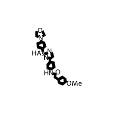 COc1ccc(CC(=O)Nc2ccc(-c3ccnc([AsH]c4ccc(N5CCOCC5)cc4)n3)cc2)cc1